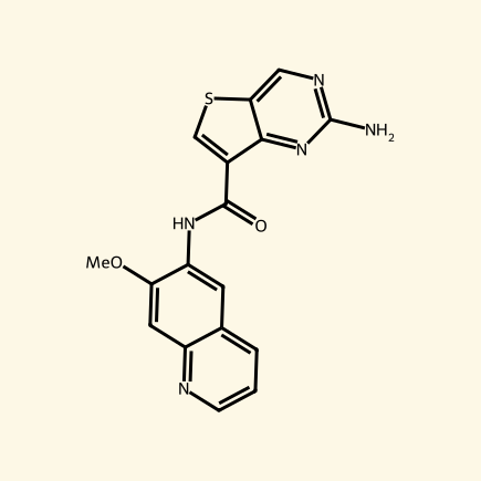 COc1cc2ncccc2cc1NC(=O)c1csc2cnc(N)nc12